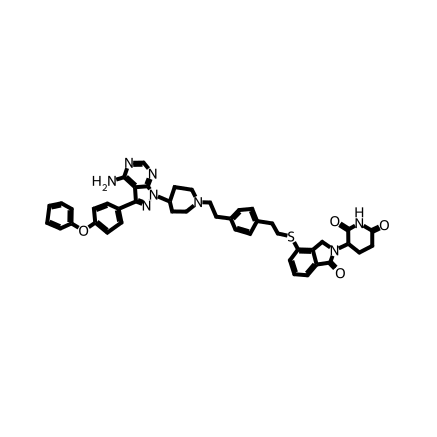 Nc1ncnc2c1c(-c1ccc(Oc3ccccc3)cc1)nn2C1CCN(CCc2ccc(CCSc3cccc4c3CN(C3CCC(=O)NC3=O)C4=O)cc2)CC1